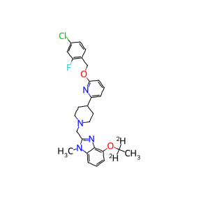 [2H]C([2H])(C)Oc1cccc2c1nc(CN1CCC(c3cccc(OCc4ccc(Cl)cc4F)n3)CC1)n2C